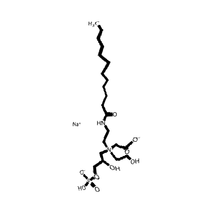 CCCCCCCCCCCC(=O)NCC[N+](CCO)(CC(=O)[O-])CC(O)COP(=O)([O-])O.[Na+]